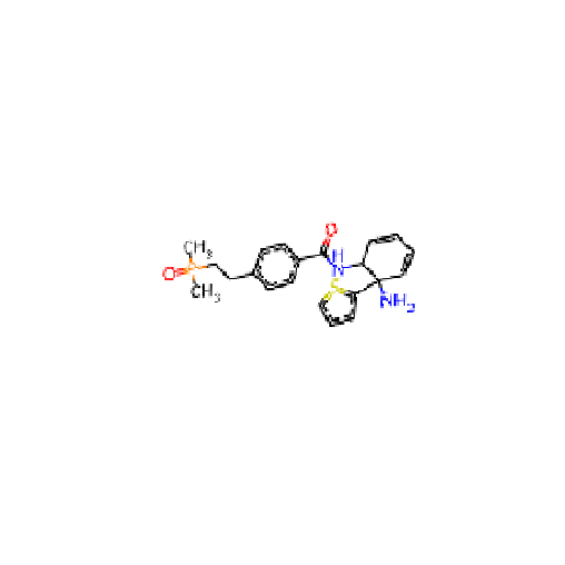 CP(C)(=O)CCc1ccc(C(=O)NC2C=CC=CC2(N)c2cccs2)cc1